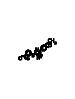 C[C@H]1CC2(CCN(c3ncc(Sc4cccc5c(C=O)csc45)c4nccn34)CC2)CO1